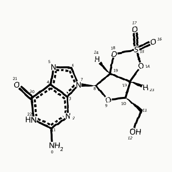 Nc1nc2c(ncn2[C@@H]2O[C@H](CO)[C@H]3OS(=O)(=O)O[C@H]32)c(=O)[nH]1